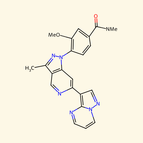 CNC(=O)c1ccc(-n2nc(C)c3cnc(-c4cnn5cccnc45)cc32)c(OC)c1